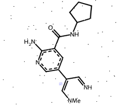 CN/C=C(\C=N)c1cnc(N)c(C(=O)NC2CCCC2)c1